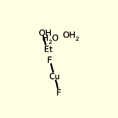 CCO.O.O.[F][Cu][F]